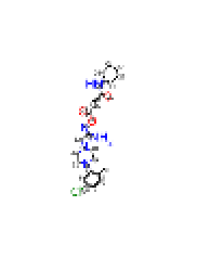 Cc1ccc(Cl)cc1N1CCN(C/C(N)=N/OC(=O)CCC(=O)NC2CCCCC2)CC1